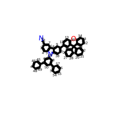 N#Cc1ccc2c(c1)c1cc(-c3ccc4c(c3)C(c3ccccc3)(c3ccccc3)c3ccccc3O4)ccc1n2-c1cc(-c2ccccc2)cc(-c2ccccc2)c1